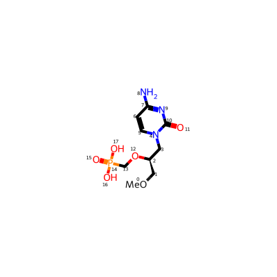 COC[C@H](Cn1ccc(N)nc1=O)OCP(=O)(O)O